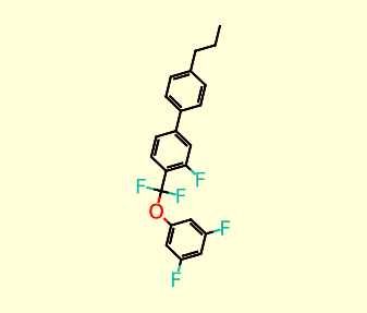 CCCc1ccc(-c2ccc(C(F)(F)Oc3cc(F)cc(F)c3)c(F)c2)cc1